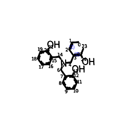 C/C=C\C(CN(Cc1ccccc1O)Cc1ccccc1O)=C(/C)O